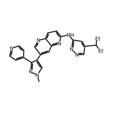 CCC(CC)c1cnnc(Nc2ccc3ncc(-c4cn(C)nc4-c4ccncc4)cc3n2)c1